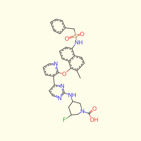 Cc1ccc2c(NS(=O)(=O)Cc3ccccc3)cccc2c1Oc1ncccc1-c1ccnc(NC2CC(F)CN(C(=O)O)C2)n1